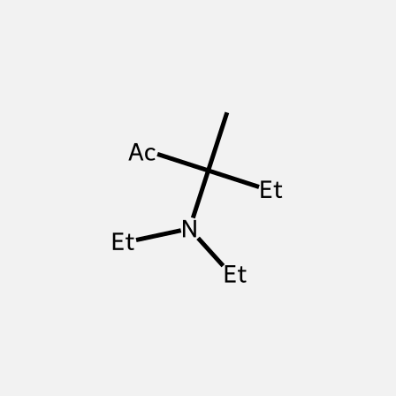 CCN(CC)C(C)(CC)C(C)=O